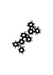 c1ccc(-n2c3ccccc3c3cc(-c4cccc5c4c4ccccc4n5-c4cc5c6ccccc6n6c7ccccc7c(c4)c56)ccc32)cc1